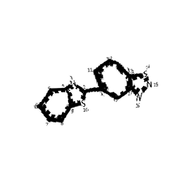 [c]1c(-c2nc3ccccc3s2)ccc2snnc12